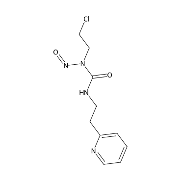 O=NN(CCCl)C(=O)NCCc1ccccn1